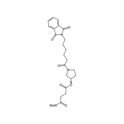 CNC(=O)CCC(=O)O[C@@H]1CCN(C(=O)CCCCCN2C(=O)c3ccccc3C2=O)C1